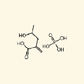 C=C(CC(C)O)C(=O)O.O=P(O)(O)O